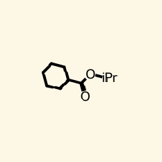 [CH2]C(C)OC(=O)C1CCCCC1